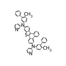 Cc1ccc(N(c2cccnc2)c2ccc3c(c2)sc2c4ccc(N(c5cccnc5)c5ccc(C)c(-c6ccccc6)c5)cc4c4ccccc4c32)cc1-c1ccccc1